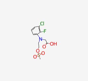 CS(=O)(=O)OCCN(CC(=O)O)c1cccc(Cl)c1F